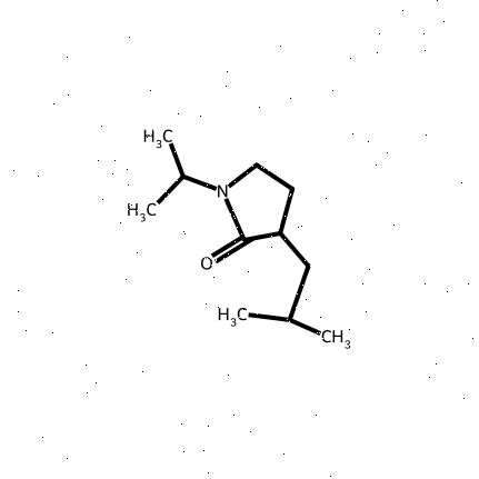 CC(C)CC1CCN(C(C)C)C1=O